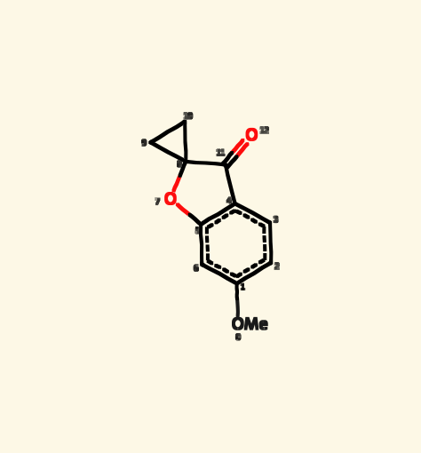 COc1ccc2c(c1)OC1(CC1)C2=O